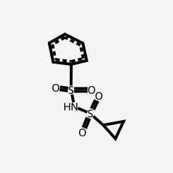 O=S(=O)(NS(=O)(=O)C1CC1)c1ccccc1